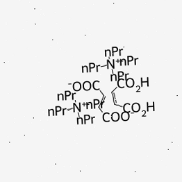 CCC[N+](CCC)(CCC)CCC.CCC[N+](CCC)(CCC)CCC.O=C(O)/C=C\C(=O)O.O=C([O-])/C=C/C(=O)[O-]